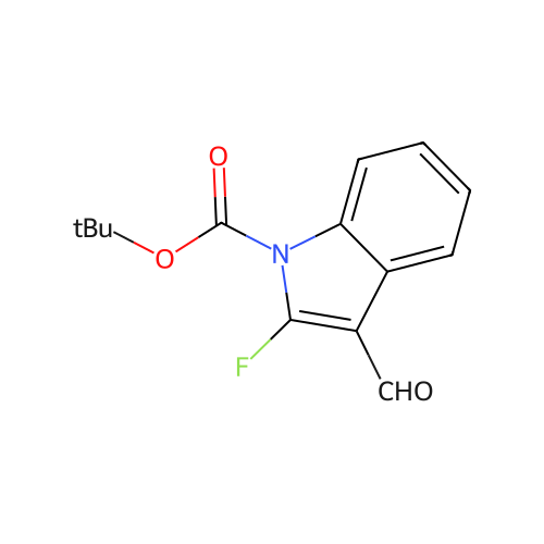 CC(C)(C)OC(=O)n1c(F)c(C=O)c2ccccc21